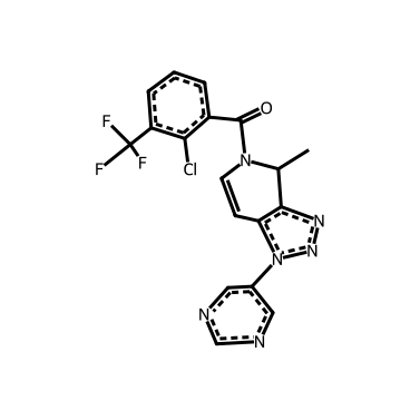 CC1c2nnn(-c3cncnc3)c2C=CN1C(=O)c1cccc(C(F)(F)F)c1Cl